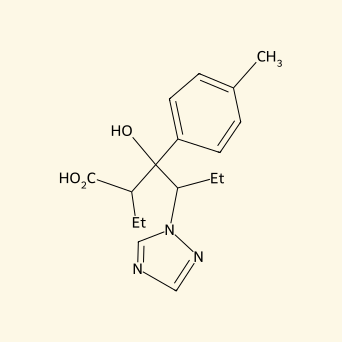 CCC(C(=O)O)C(O)(c1ccc(C)cc1)C(CC)n1cncn1